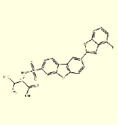 CC(C)[C@H](NS(=O)(=O)c1ccc2c(c1)oc1ccc(-c3nc4c(F)cccc4s3)cc12)C(=O)O